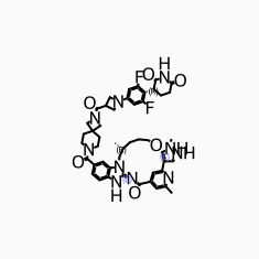 CN/C1=C(\C=N)c2cc(cc(C)n2)C(=O)/N=C2\Nc3ccc(C(=O)N4CCC5(CC4)CN(C(=O)C4CN(c6cc(F)c([C@H]7CCC(=O)NC7=O)c(F)c6)C4)C5)cc3N2C[C@H](C)CCCO1